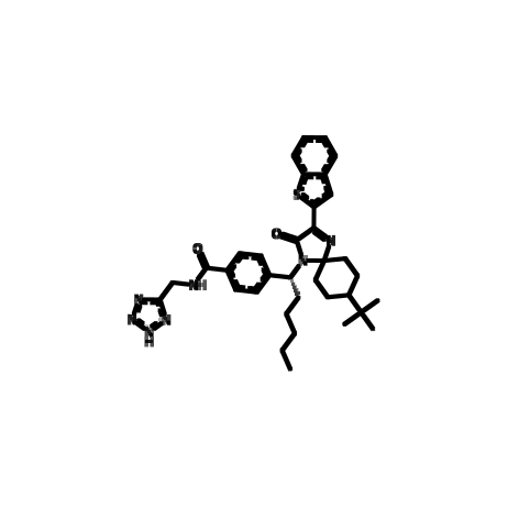 CCCCC[C@H](c1ccc(C(=O)NCc2nn[nH]n2)cc1)N1C(=O)C(c2cc3ccccc3s2)=NC12CCC(C(C)(C)C)CC2